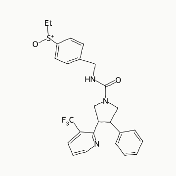 CC[S+]([O-])c1ccc(CNC(=O)N2CC(c3ccccc3)C(c3ncccc3C(F)(F)F)C2)cc1